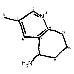 Cc1cnc2c(c1)C(N)CCC2